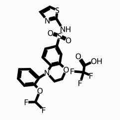 O=C(O)C(F)(F)F.O=S(=O)(Nc1nccs1)c1ccc2c(c1)OCCN2c1ccccc1OC(F)F